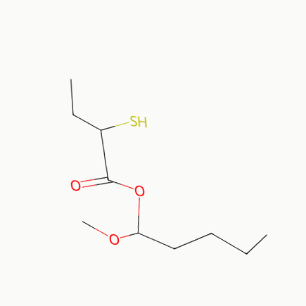 CCCCC(OC)OC(=O)C(S)CC